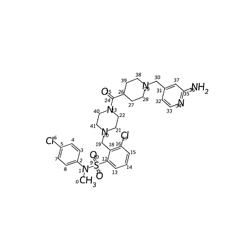 CN(c1ccc(Cl)cc1)S(=O)(=O)c1cccc(Cl)c1CN1CCN(C(=O)C2CCN(Cc3ccnc(N)c3)CC2)CC1